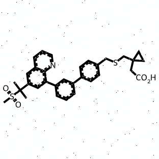 CC(C)(c1cc(-c2cccc(-c3ccc(CSCC4(CC(=O)O)CC4)cc3)c2)c2ncccc2c1)S(C)(=O)=O